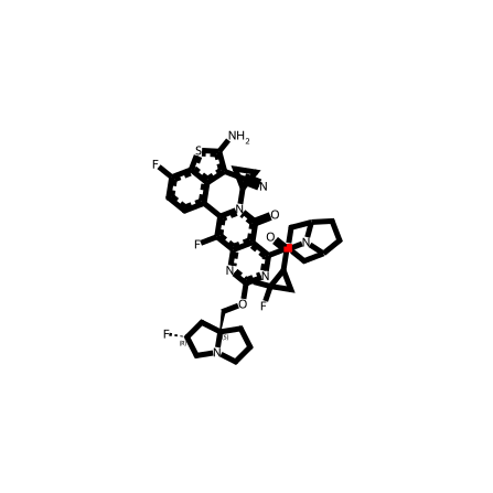 N#Cc1c(N)sc2c(F)ccc(-c3c(F)c4nc(OC[C@@]56CCCN5C[C@H](F)C6)nc(N5CC6CCC(C5)N6C(=O)C5CC5(F)F)c4c(=O)n3C3CC3)c12